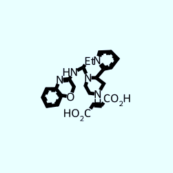 CCC(NC1=Nc2ccccc2OC1)N1CCNCC1c1ccccn1.O=C(O)C=CC(=O)O